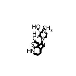 CC1=CC23C=C(N4CCN(C)[C@@H](CO)C4)N=CC2=CC=CNC3S1